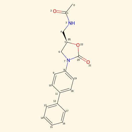 CC(=O)NC[C@@H]1CN(c2ccc(-c3ccccc3)cc2)C(=O)O1